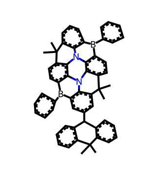 CC1(C)c2ccccc2C(c2cc3c4c(c2)C(C)(C)c2ccc5c6c2N4c2c(ccc4c2N6c2c(cccc2C4(C)C)B5c2ccccc2)B3c2ccccc2)c2ccccc21